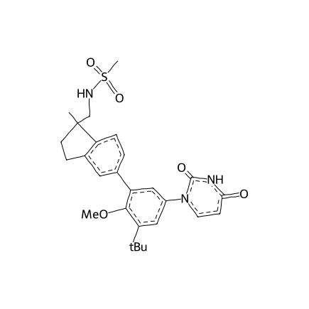 COc1c(-c2ccc3c(c2)CCC3(C)CNS(C)(=O)=O)cc(-n2ccc(=O)[nH]c2=O)cc1C(C)(C)C